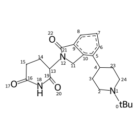 CC(C)(C)N1CCC(c2cccc3c2CN(C2CCC(=O)NC2=O)C3=O)CC1